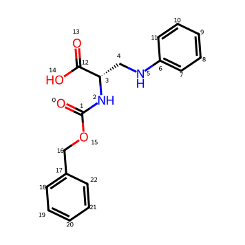 O=C(N[C@@H](CNc1ccccc1)C(=O)O)OCc1ccccc1